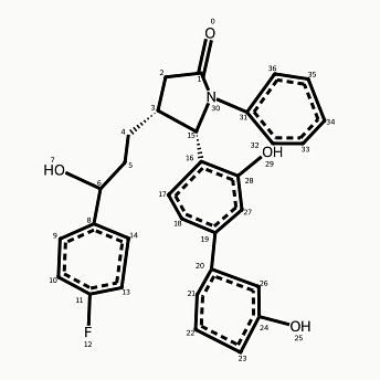 O=C1C[C@@H](CCC(O)c2ccc(F)cc2)[C@@H](c2ccc(-c3cccc(O)c3)cc2O)N1c1ccccc1